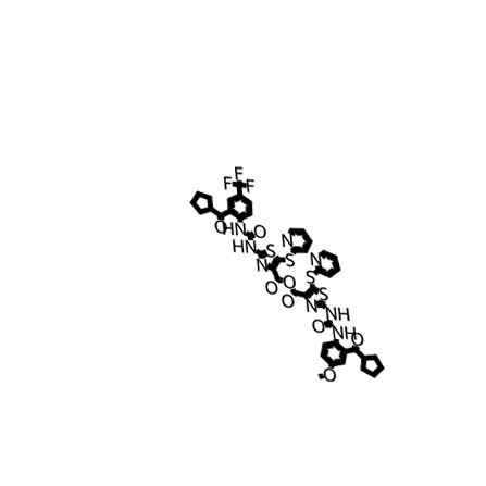 COc1ccc(NC(=O)Nc2nc(C(=O)OC(=O)c3nc(NC(=O)Nc4ccc(C(F)(F)F)cc4C(=O)C4CCCC4)sc3Sc3ccccn3)c(Sc3ccccn3)s2)c(C(=O)C2CCCC2)c1